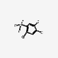 FS(F)(F)c1cc(Cl)c(Cl)cc1Cl